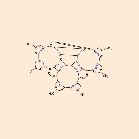 Cc1cc2nc(c1)c1ccc3c4cc(C)cc(n4)c4cc(C)cc(n4)c4ccc5c6cc(C)cc(n6)c6cc(C)cc(n6)c6ccc(c7cc(C)cc2n7)c2nc7c8nc1c3nc8c1nc4c5nc1c7nc62